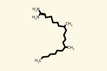 CCCCCCCC(C)CCCCC(C)CCCCCC=C(N)N